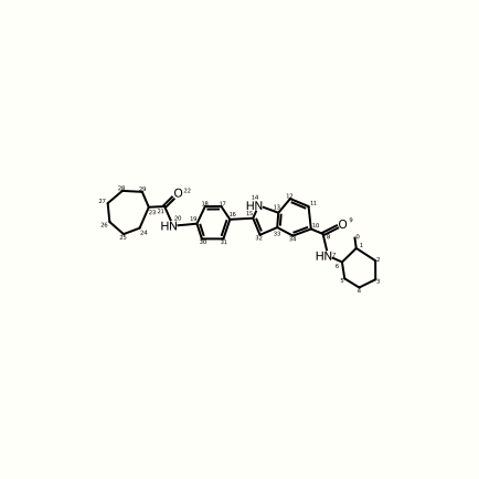 CC1CCCCC1NC(=O)c1ccc2[nH]c(-c3ccc(NC(=O)C4CCCCCC4)cc3)cc2c1